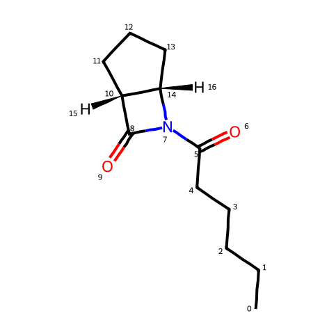 CCCCCC(=O)N1C(=O)[C@@H]2CCC[C@@H]21